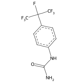 NC(=O)Nc1ccc(C(F)(C(F)(F)F)C(F)(F)F)cc1